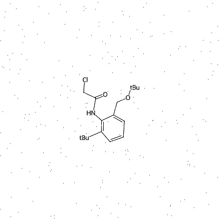 CC(C)(C)OCc1cccc(C(C)(C)C)c1NC(=O)CCl